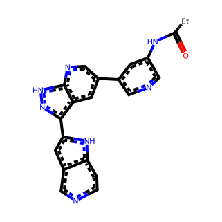 CCC(=O)Nc1cncc(-c2cnc3[nH]nc(-c4cc5cnccc5[nH]4)c3c2)c1